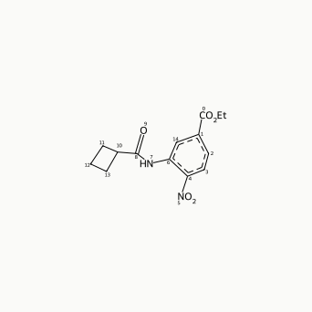 CCOC(=O)c1ccc([N+](=O)[O-])c(NC(=O)C2CCC2)c1